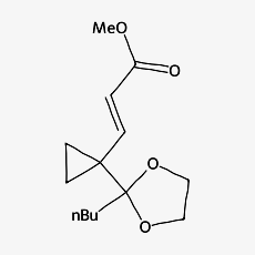 CCCCC1(C2(C=CC(=O)OC)CC2)OCCO1